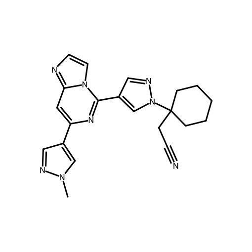 Cn1cc(-c2cc3nccn3c(-c3cnn(C4(CC#N)CCCCC4)c3)n2)cn1